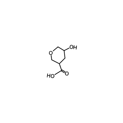 O=C(O)C1COCC(O)C1